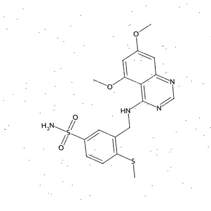 COc1cc(OC)c2c(NCc3cc(S(N)(=O)=O)ccc3SC)ncnc2c1